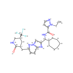 CCn1nccc1C(=O)NC(c1cn2nc(CC3C[C@H](C(F)(F)F)CNC3=O)ccc2n1)C1CCCCCC1